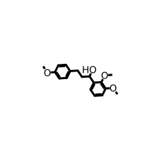 COc1ccc(CCC(O)c2cccc(OC)c2OC)cc1